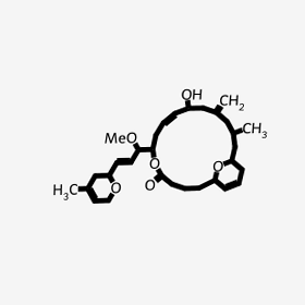 C=C1CC(O)C=CCC(C(C=CC2CC(C)=CCO2)OC)OC(=O)CCCC2C=CCC(CC(C)C1)O2